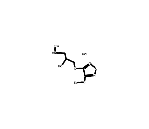 CCOc1nsnc1OCC(O)CNC(C)(C)C.Cl